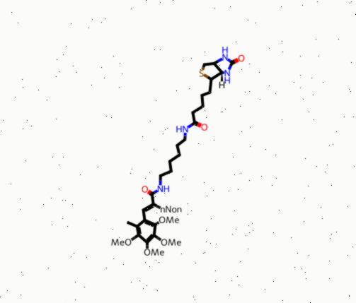 CCCCCCCCC/C(=C\c1c(C)c(OC)c(OC)c(OC)c1OC)C(=O)NCCCCCCNC(=O)CCCCC1SCC2NC(=O)N[C@@H]21